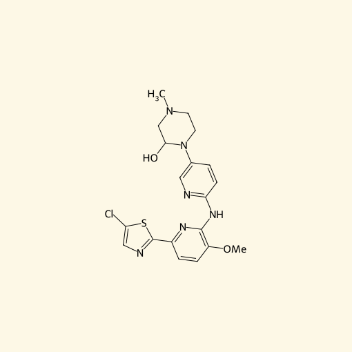 COc1ccc(-c2ncc(Cl)s2)nc1Nc1ccc(N2CCN(C)CC2O)cn1